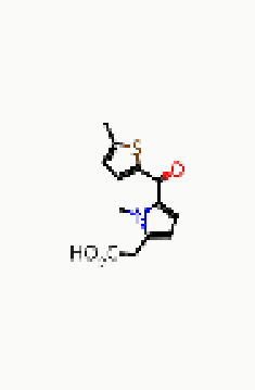 Cc1ccc(C(=O)c2ccc(CC(=O)O)n2C)s1